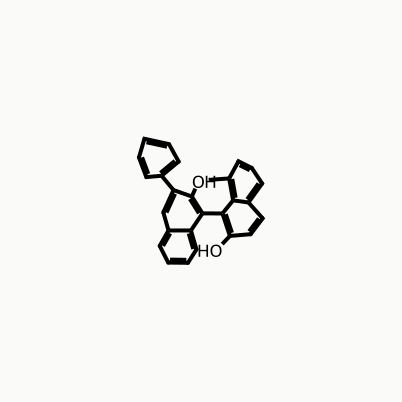 Cc1cccc2ccc(O)c(-c3c(O)c(-c4ccccc4)cc4ccccc34)c12